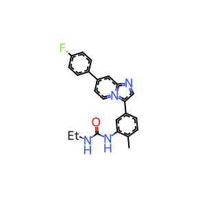 CCNC(=O)Nc1cc(-c2cnc3cc(-c4ccc(F)cc4)ccn23)ccc1C